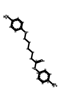 Nc1ccc(OCCCCCC(=O)Oc2ccc(N)cc2)cc1